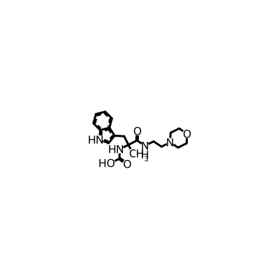 CC(Cc1c[nH]c2ccccc12)(NC(=O)O)C(=O)NCCN1CCOCC1